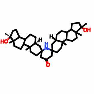 CC12CCC3(CC(=O)CC4(CCC5(C)C6CCC7(C)C(CC[C@]7(C)O)C6CC[C@H]5C4)N3)C[C@@H]1CCC1C2CCC2(C)C1CC[C@]2(C)O